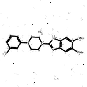 COc1cc2nc(N3CCN(c4cccc(C(F)(F)F)c4)CC3)[nH]c2cc1OC.Cl